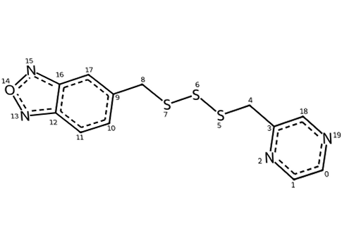 c1cnc(CSSSCc2ccc3nonc3c2)cn1